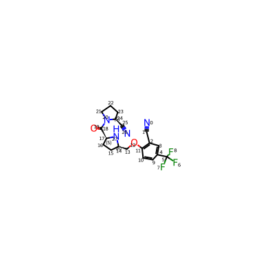 N#Cc1cc(C(F)(F)F)ccc1OC[C@H]1CC[C@@H](C(=O)N2CCC[C@H]2C#N)N1